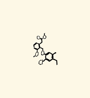 CCc1cc(Cl)c(OCc2c(CC(=O)OC)cccc2OC)cc1C